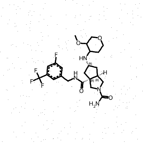 COC1COCCC1N[C@@H]1C[C@H]2CN(C(N)=O)C[C@@]2(C(=O)NCc2cc(F)cc(C(F)(F)F)c2)C1